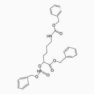 O=C(NCCCCC(O[PH](=O)OCc1ccccc1)C(=O)OCc1ccccc1)OCc1ccccc1